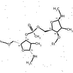 CB[C@@H]1O[C@H](COP(C)(=O)O[C@@H]2C(C)[C@H](BC)O[C@@H]2COC(C)C)[C@H](OCC)C1C